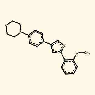 COc1ccccc1-n1cc(-c2ccc(N3CCSCC3)cc2)cn1